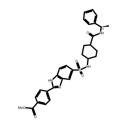 COC(=O)c1ccc(-c2nc3cc(S(=O)(=O)NC4CCC(C(=O)N[C@H](C)c5ccccc5)CC4)ccc3[nH]2)cc1